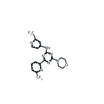 FC(F)(F)c1cc(Nc2nc(-c3cccc(C(F)(F)F)n3)nc(N3CCOCC3)n2)ccn1